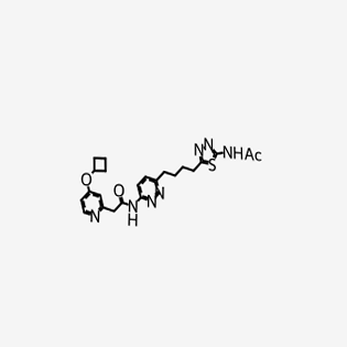 CC(=O)Nc1nnc(CCCCc2ccc(NC(=O)Cc3cc(OC4CCC4)ccn3)nn2)s1